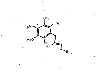 COc1c(C)c(C)c(C/C(C)=C/CBr)c(C)c1OC